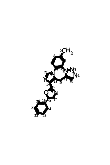 Cc1ccc2c(c1)-n1nncc1Cc1c(C3=NC[C@@H](c4ccccc4)O3)ncn1-2